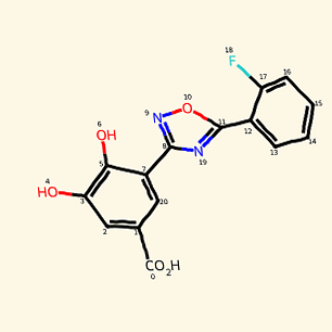 O=C(O)c1cc(O)c(O)c(-c2noc(-c3ccccc3F)n2)c1